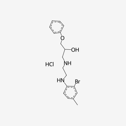 Cc1ccc(NCCNCC(O)COc2ccccc2)c(Br)c1.Cl